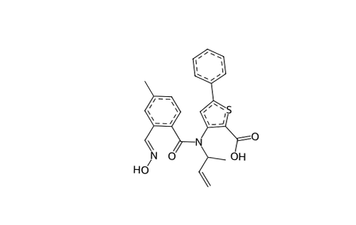 C=CC(C)N(C(=O)c1ccc(C)cc1/C=N/O)c1cc(-c2ccccc2)sc1C(=O)O